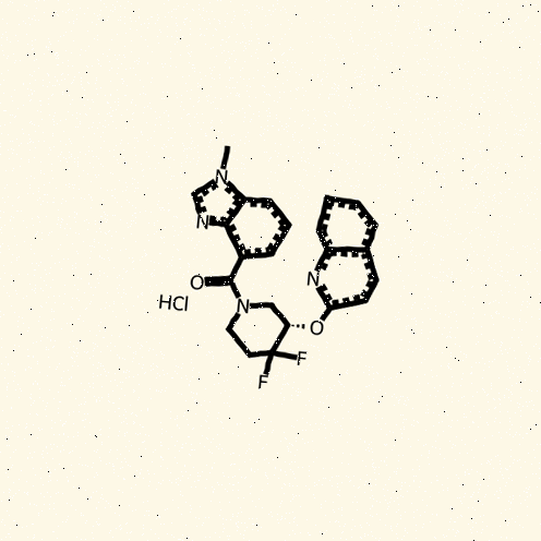 Cl.Cn1cnc2c(C(=O)N3CCC(F)(F)[C@@H](Oc4ccc5ccccc5n4)C3)cccc21